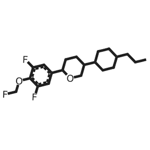 CCCC1CCC(C2CCC(c3cc(F)c(OCF)c(F)c3)OC2)CC1